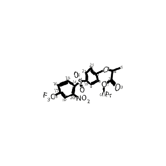 CCCOC(=O)C(C)Oc1ccc(S(=O)(=O)c2ccc(C(F)(F)F)cc2[N+](=O)[O-])cc1